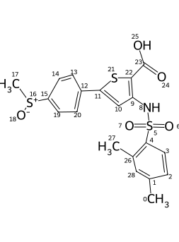 Cc1ccc(S(=O)(=O)Nc2cc(-c3ccc([S+](C)[O-])cc3)sc2C(=O)O)c(C)c1